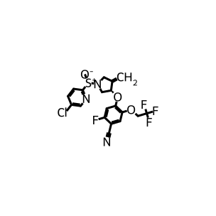 C=C1CN([S+]([O-])c2ccc(Cl)cn2)C[C@@H]1Oc1cc(F)c(C#N)cc1OCC(F)(F)F